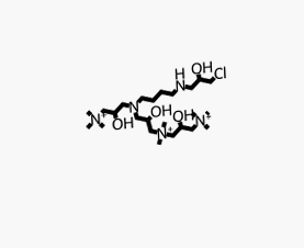 C[N+](C)(C)CC(O)CN(CCCCNCC(O)CCl)CC(O)C[N+](C)(C)CC(O)C[N+](C)(C)C